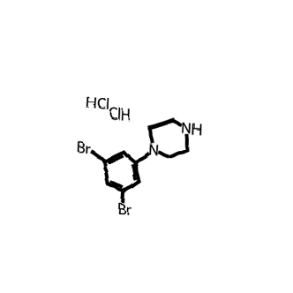 Brc1cc(Br)cc(N2CCNCC2)c1.Cl.Cl